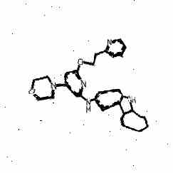 c1ccc(CCOc2cc(N3CCOCC3)cc(Nc3ccc4c(c3)C3CCCCC3N4)n2)nc1